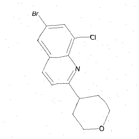 Clc1cc(Br)cc2ccc(C3CCOCC3)nc12